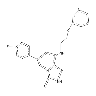 O=c1[nH]nc2c(NCCCc3cccnc3)cc(-c3ccc(F)cc3)cn12